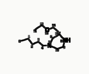 CCCCCN1CCNCC1.CCOCC